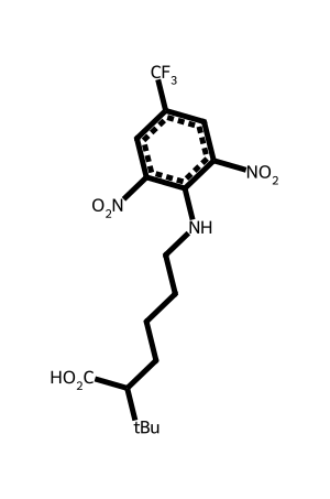 CC(C)(C)C(CCCCNc1c([N+](=O)[O-])cc(C(F)(F)F)cc1[N+](=O)[O-])C(=O)O